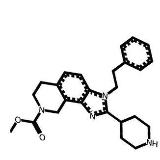 COC(=O)N1CCc2ccc3c(nc(C4CCNCC4)n3CCc3ccccc3)c2C1